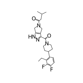 CCc1c(C2CCN(C(=O)c3n[nH]c4c3CN(C(=O)CC(C)C)C4)CC2)ccc(F)c1F